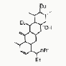 C=C1C2C(C)C=CC(C(CC)CCC)C2CC2C[C@]3(O)C[C@@H](C)C(C(C)CC)C(C)C3C(CC)C12